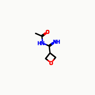 CC(=O)NC(=N)C1COC1